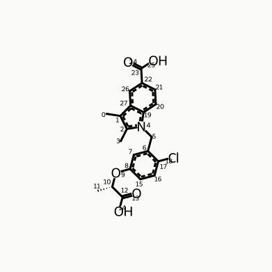 Cc1c(C)n(Cc2cc(O[C@@H](C)C(=O)O)ccc2Cl)c2ccc(C(=O)O)cc12